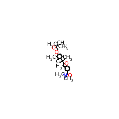 CCC(CC)(c1ccc(OCC(=O)C(C)(C)C)c(C)c1)c1cc2cc(C(=O)N(C)C)ccc2o1